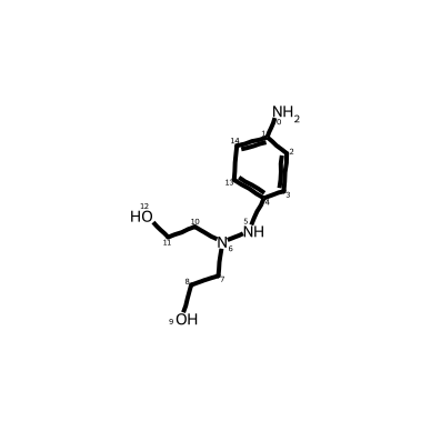 Nc1ccc(NN(CCO)CCO)cc1